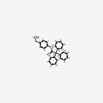 O=C(Oc1ccc(CO)cc1)C(c1ccccc1)(c1ccccc1)c1ccccc1